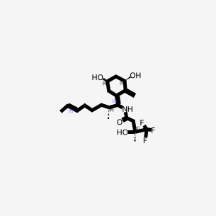 C=C1/C(=C(\NC(=O)C[C@](C)(O)C(F)(F)F)[C@H](C)CCC/C=C/C)C[C@@H](O)C[C@@H]1O